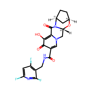 O=C(NCc1c(F)cc(F)nc1F)c1cn2c(c(O)c1=O)C(=O)N1[C@H]3CC[C@H](C3)O[C@@H]1C2